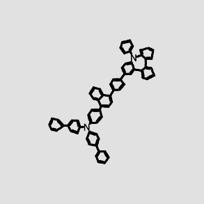 c1ccc(-c2ccc(N(c3ccc(-c4ccccc4)cc3)c3ccc(-c4ccc(-c5ccc(-c6ccc7c(c6)-c6ccccc6-c6ccccc6N7c6ccccc6)cc5)c5ccccc45)cc3)cc2)cc1